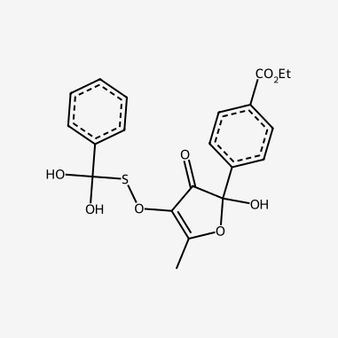 CCOC(=O)c1ccc(C2(O)OC(C)=C(OSC(O)(O)c3ccccc3)C2=O)cc1